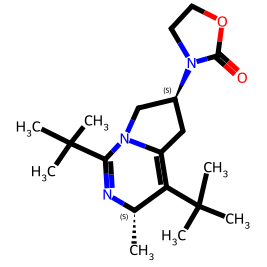 C[C@@H]1N=C(C(C)(C)C)N2C[C@@H](N3CCOC3=O)CC2=C1C(C)(C)C